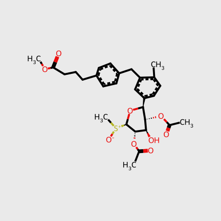 COC(=O)CCCc1ccc(Cc2cc([C@@H]3O[C@H]([S+](C)[O-])[C@@H](OC(C)=O)[C@H](O)[C@H]3OC(C)=O)ccc2C)cc1